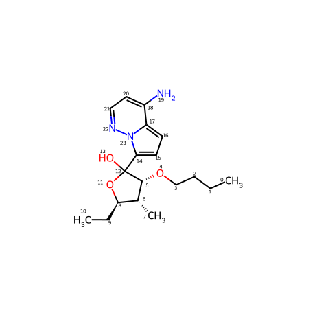 CCCCO[C@@H]1[C@H](C)[C@@H](CC)OC1(O)c1ccc2c(N)ccnn12